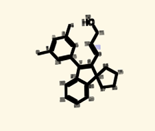 Cc1cc(C)cc(C2=C(/C=C/CO)C3(CCCC3)c3ccccc32)c1